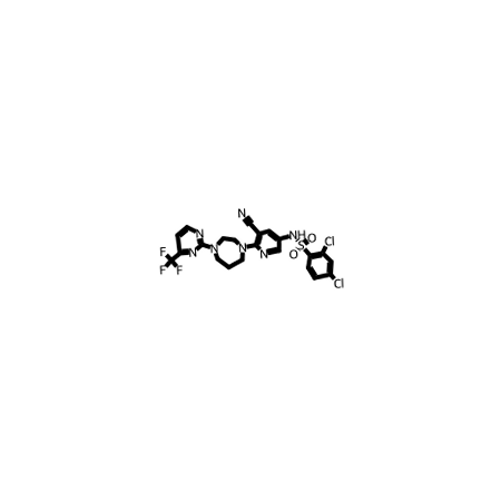 N#Cc1cc(NS(=O)(=O)c2ccc(Cl)cc2Cl)cnc1N1CCCN(c2nccc(C(F)(F)F)n2)CC1